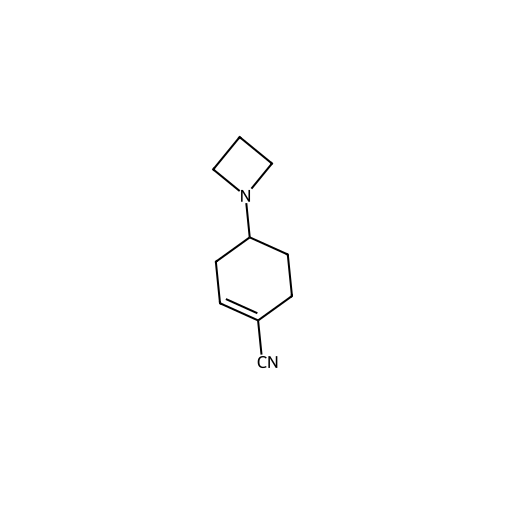 N#CC1=CCC(N2CCC2)CC1